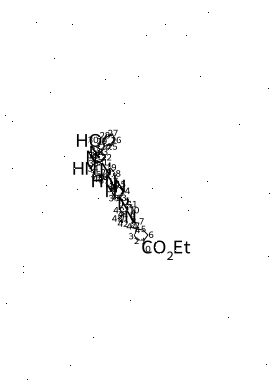 CCOC(=O)[C@H]1CCC2(CC1)C[C@H](N1CCN(c3cnc(N4CCN5c6cc(-c7ccccc7O)nnc6NC[C@H]5C4)nc3)CC13CC3)C2